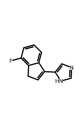 Fc1cccc2c1CC=C2c1cnc[nH]1